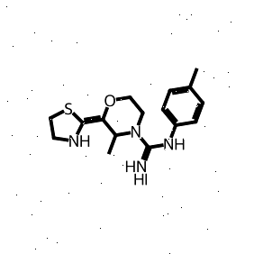 Cc1ccc(NC(=N)N2CCOC(=C3NCCS3)C2C)cc1.I